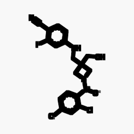 N#Cc1ccc(NCC2(CO)CN([S+]([O-])c3ccc(Cl)cc3Cl)C2)cc1F